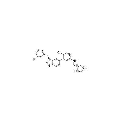 Fc1cccc(Cn2cnc3ccc(-c4cc(NC[C@H]5C[C@H](F)CN5)ncc4Cl)cc32)c1